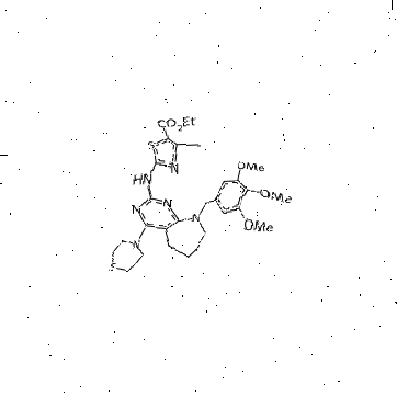 CCOC(=O)c1sc(Nc2nc(N3CCSCC3)c3c(n2)N(Cc2cc(OC)c(OC)c(OC)c2)CCCC3)nc1C